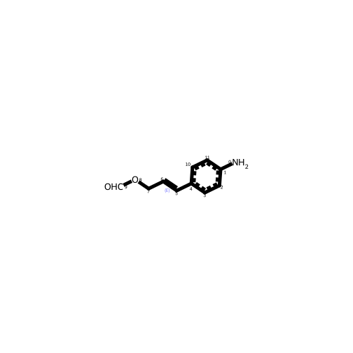 Nc1ccc(/C=C/COC=O)cc1